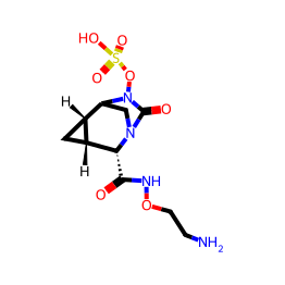 NCCONC(=O)[C@@H]1[C@@H]2C[C@@H]2C2CN1C(=O)N2OS(=O)(=O)O